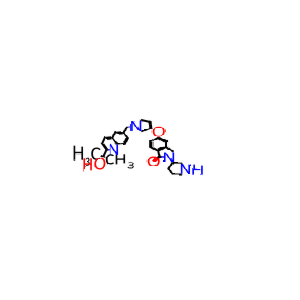 CC(C)(O)c1ccc2cc(CN3CC[C@H](Oc4ccc5c(c4)CN([C@H]4CCCNC4)C5=O)C3)ccc2n1